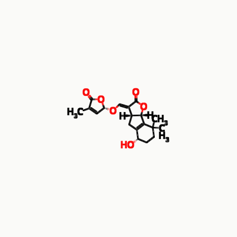 CC1=C[C@@H](O/C=C2/C(=O)O[C@@H]3C4=C(C[C@H]23)[C@@H](O)CCC4(C)C)OC1=O